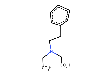 O=C(O)CN(CCc1ccccc1)CC(=O)O